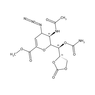 COC(=O)C1=CC(N=[N+]=[N-])[C@@H](NC(C)=O)C([C@@H](OC(N)=O)[C@@H]2COC(=O)O2)O1